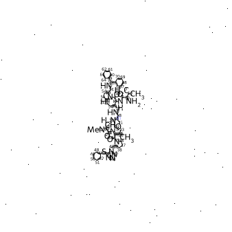 C=C(C)[C@H](N)C(=O)N[C@@H]1C(=O)N2[C@@H](CC[C@@H]1CN/C=C(\N)COC[C@H](C)[C@H](NC(=O)[C@H](C)NC)C(=O)N1CCC[C@H]1Cn1nnnc1Sc1ccccc1)CC[C@H]2CNC(c1ccccc1)c1ccccc1